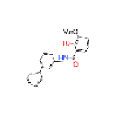 COc1cccc(C(=O)NCc2cccc(-c3ccccc3)c2)c1O